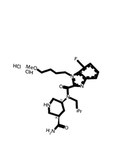 COCCCCn1c(C(=O)N(CC(C)C)[C@@H]2CNC[C@H](C(N)=O)C2)nc2cccc(F)c21.Cl.Cl